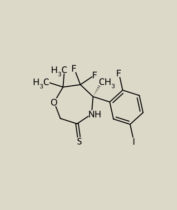 CC1(C)OCC(=S)N[C@](C)(c2cc(I)ccc2F)C1(F)F